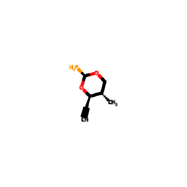 C#C[C@H]1O[C@@H](P)OC[C@@H]1C